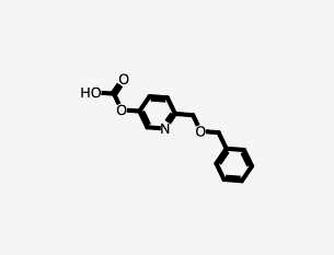 O=C(O)Oc1ccc(COCc2ccccc2)nc1